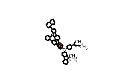 C=C/C=C(\C=C)c1ccc(N(c2ccc(-c3ccc(-c4ccccc4-n4c5cc(-c6ccccc6)ccc5c5ccc(-c6cccc7ccccc67)cc54)cc3)cc2)c2ccc3c(c2)C(C)(C)c2ccccc2-3)cc1